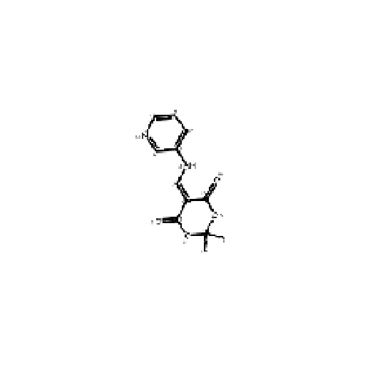 CC1(C)OC(=O)C(=CNc2cccnc2)C(=O)O1